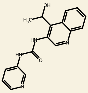 CC(O)c1c(NC(=O)Nc2cccnc2)cnc2ccccc12